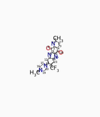 Cc1ccc2c(n1)C(=O)c1nc3cc(N4CCN(C)CC4)c(C(F)(F)F)cc3nc1C2=O